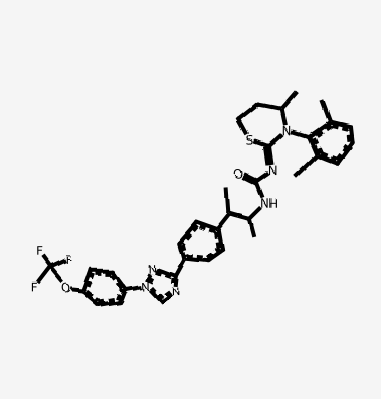 Cc1cccc(C)c1N1/C(=N/C(=O)NC(C)C(C)c2ccc(-c3ncn(-c4ccc(OC(F)(F)F)cc4)n3)cc2)SCCC1C